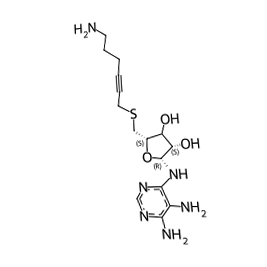 NCCCC#CCSC[C@H]1O[C@@H](Nc2ncnc(N)c2N)[C@@H](O)C1O